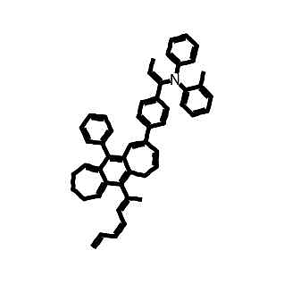 C=C/C=C\C=C(/C)c1c2c(c(-c3ccccc3)c3c1=CCCCC=3)C=C(c1ccc(/C(=C/C)N(c3ccccc3)c3ccccc3C)cc1)C=CC2